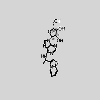 CC(Nc1ncnc2c1ncn2[C@@H]1O[C@H](CO)[C@@H](O)[C@H]1O)c1cnc2ccccn12